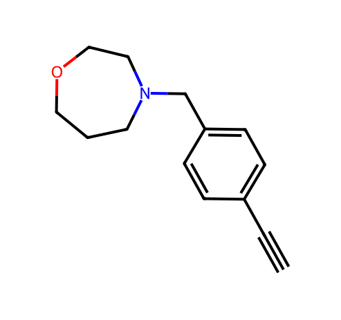 C#Cc1ccc(CN2CCCOCC2)cc1